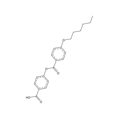 CCCCCCOc1ccc(C(=O)Oc2ccc(C(=O)O)cc2)cc1